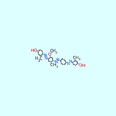 CCOc1cc(/N=N/c2ccc(/N=N/c3ccc(O)cc3C)cc2)c(C)cc1/N=N/c1ccc(O)cc1C